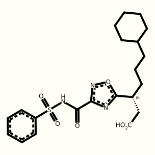 O=C(O)C[C@@H](CCCC1CCCCC1)c1nc(C(=O)NS(=O)(=O)c2ccccc2)no1